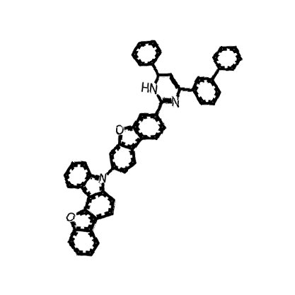 C1=C(c2cccc(-c3ccccc3)c2)N=C(c2ccc3c(c2)oc2cc(-n4c5ccccc5c5c6oc7ccccc7c6ccc54)ccc23)NC1c1ccccc1